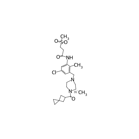 Cc1c(CN2CCN(C(=O)C3CC4(CC4)C3)[C@@H](C)C2)cc(Cl)cc1NC(=O)CCS(C)(=O)=O